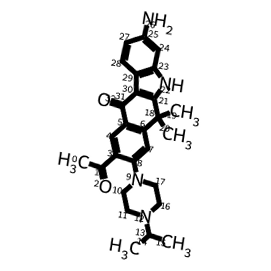 CC(=O)c1cc2c(cc1N1CCN(C(C)C)CC1)C(C)(C)c1[nH]c3cc(N)ccc3c1C2=O